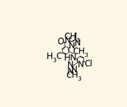 Cc1cc(C(C)Nc2ccc(Cl)nc2-c2ncn(C)n2)c2c(c1)c(=O)n(C)c1c(I)ncn21